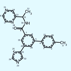 Cc1ccc(-c2cc(C(=O)NC(C)c3cnccn3)cc(-c3cncs3)c2)cc1